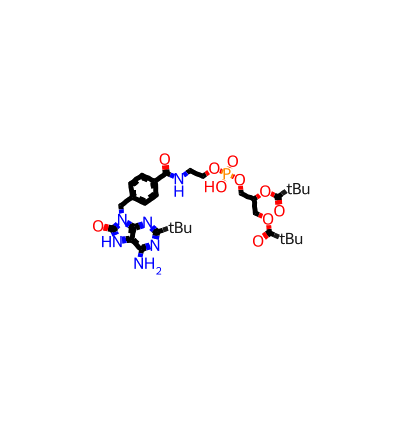 CC(C)(C)C(=O)OCC(COP(=O)(O)OCCNC(=O)c1ccc(Cn2c(=O)[nH]c3c(N)nc(C(C)(C)C)nc32)cc1)OC(=O)C(C)(C)C